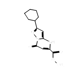 COC(=O)c1cc(=O)n2nc(C3CCCCC3)cc2[nH]1